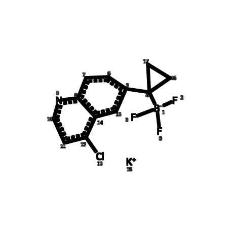 F[B-](F)(F)C1(c2ccc3nccc(Cl)c3c2)CC1.[K+]